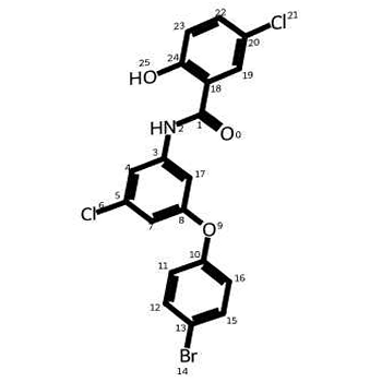 O=C(Nc1cc(Cl)cc(Oc2ccc(Br)cc2)c1)c1cc(Cl)ccc1O